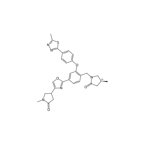 Cc1nnc(-c2ccc(Oc3cc(-c4nc(C5CC(=O)N(C)C5)co4)ccc3CN3C[C@@H](C)CC3=O)cc2)s1